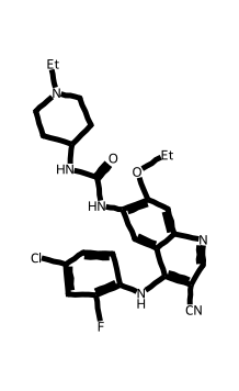 CCOc1cc2ncc(C#N)c(Nc3ccc(Cl)cc3F)c2cc1NC(=O)NC1CCN(CC)CC1